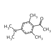 CC(=O)c1c(C)cc(N(C)C)cc1C